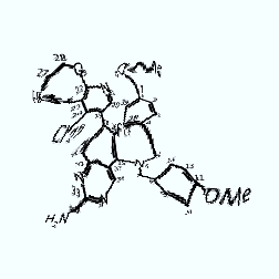 COc1ccc(CN(Cc2ccc(OC)cc2)c2c(F)c(-c3cnc4c(c3Cl)NCCO4)cc3nc(N)ncc23)cc1